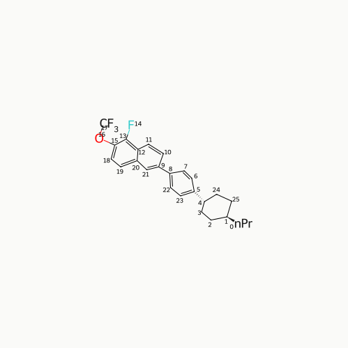 CCC[C@H]1CC[C@H](c2ccc(-c3ccc4c(F)c(OC(F)(F)F)ccc4c3)cc2)CC1